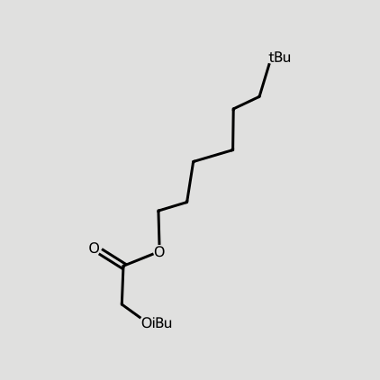 CC(C)COCC(=O)OCCCCCCC(C)(C)C